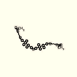 CCC1(COCCCCCOCc2ccc(-c3ccc(-c4c5ccccc5c(-c5ccc(Oc6ccc(-c7ccc(-c8c9ccccc9c(-c9ccc(COCCCCCOCC%10(CC)COC%10)cc9)c9ccccc89)c8ccccc78)cc6)cc5)c5ccccc45)c4ccccc34)cc2)COC1